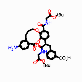 CC(C)(C)OC(=O)CNC(=O)c1ccc(C(Cc2cccc(C(=O)O)c2)C(=O)NCC(=O)OC(C)(C)C)c2c1OCCCc1cc(N)ccc1C(=O)O2